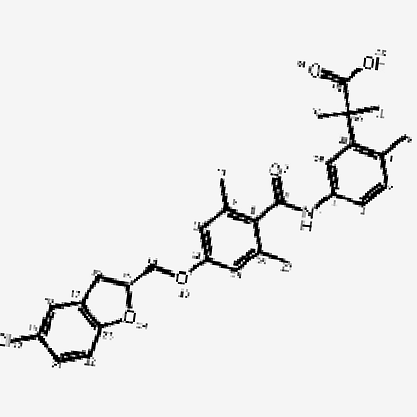 Cc1ccc(NC(=O)c2c(C)cc(OC[C@@H]3Cc4cc(Cl)ccc4O3)cc2C)cc1C(C)(C)C(=O)O